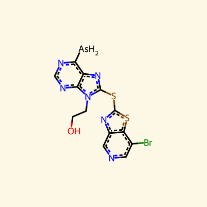 OCCn1c(Sc2nc3cncc(Br)c3s2)nc2c([AsH2])ncnc21